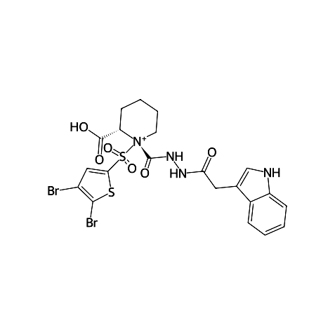 O=C(Cc1c[nH]c2ccccc12)NNC(=O)[N@+]1(S(=O)(=O)c2cc(Br)c(Br)s2)CCCC[C@H]1C(=O)O